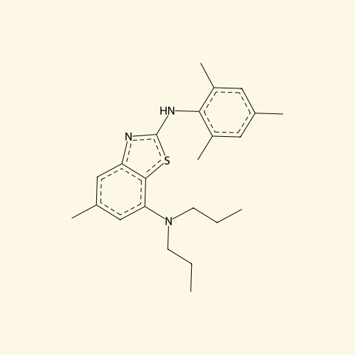 CCCN(CCC)c1cc(C)cc2nc(Nc3c(C)cc(C)cc3C)sc12